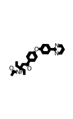 CCC(CC)(CC(=O)c1ccc(Oc2ccc(-c3ncccn3)cc2)cc1)NC(C)=O